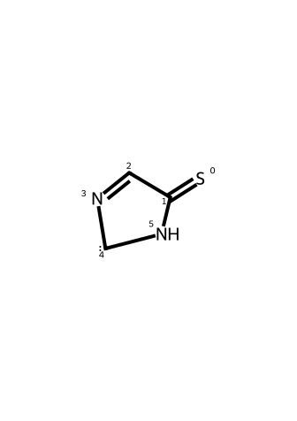 S=C1C=N[C]N1